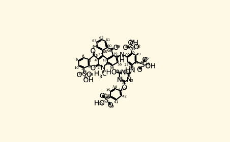 Cn1c(=O)c(C(=O)c2cccc(S(=O)(=O)O)c2)c2c3c(c(Nc4cc(Nc5nc(O)nc(Oc6ccc(S(=O)(=O)O)cc6)n5)c(S(=O)(=O)O)cc4S(=O)(=O)O)ccc31)C(=O)c1ccccc1-2